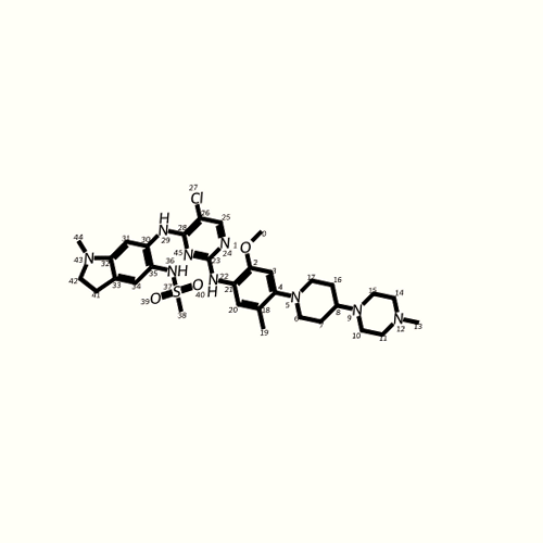 COc1cc(N2CCC(N3CCN(C)CC3)CC2)c(C)cc1Nc1ncc(Cl)c(Nc2cc3c(cc2NS(C)(=O)=O)CCN3C)n1